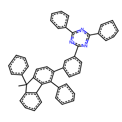 CC1(c2ccccc2)c2ccccc2-c2c1ccc(-c1cccc(-c3nc(-c4ccccc4)nc(-c4ccccc4)n3)c1)c2-c1ccccc1